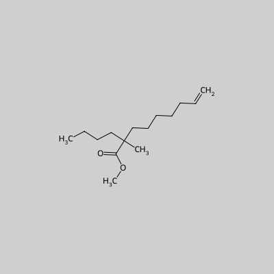 C=CCCCCCC(C)(CCCC)C(=O)OC